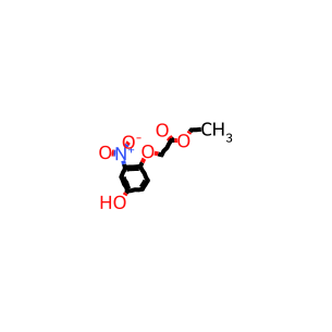 CCOC(=O)COc1ccc(O)cc1[N+](=O)[O-]